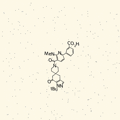 CNc1nc(-c2cccc(C(=O)O)c2)ccc1C(=O)N1CCC2(CC1)CC(=O)c1c(cnn1C(C)(C)C)C2